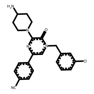 N#Cc1ccc(-c2cn(Cc3cccc(Cl)c3)c(=O)c(N3CCC(N)CC3)n2)cc1